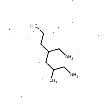 CCCC(CN)CC(C)CN